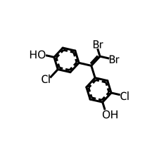 Oc1ccc(C(=C(Br)Br)c2ccc(O)c(Cl)c2)cc1Cl